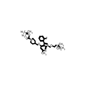 Cc1cc(OCC2CCN(C(=O)OC(C)(C)C)CC2)c2c(-c3ccccc3F)cn(COCC[Si](C)(C)C)c2n1